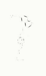 CCCCSCCCN1CC[C@@H](CCCc2ccnc3ccc(OC)cc23)[C@@H](C(=O)O)C1